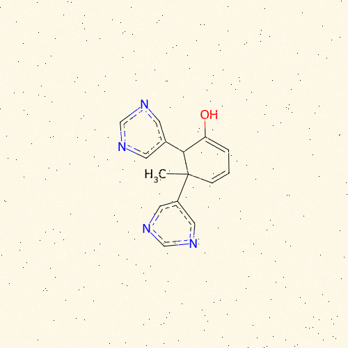 CC1(c2cncnc2)C=CC=C(O)C1c1cncnc1